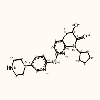 O=C1C(C(F)(F)F)Oc2cnc(Nc3ccc(N4CCNCC4)cn3)nc2N1C1CCCC1